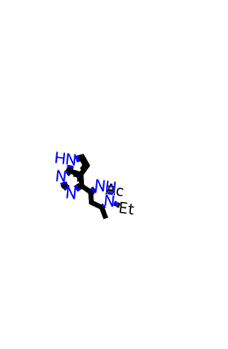 CCN(C(C)=O)C(C)CC(=N)c1ncnc2[nH]ccc12